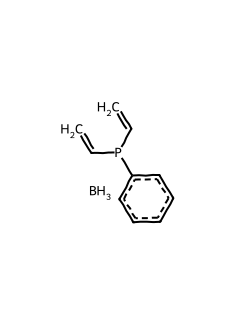 B.C=CP(C=C)c1ccccc1